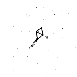 O=C=C1C2C[C@@H]12